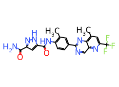 Cc1cc(-c2ncc3nc(C(F)(F)F)cc(C)c3n2)ccc1NC(=O)c1cc(C(N)=O)n[nH]1